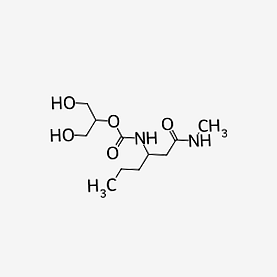 CCCC(CC(=O)NC)NC(=O)OC(CO)CO